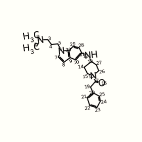 CN(C)CCCn1ccc2cc(NC3CCN(C(=O)Cc4ccccc4)CC3)ccc21